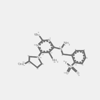 CC(C)(C)c1nc(N(N)Cc2ccccc2S(=O)(=O)F)c(N)c(N2CCC(C=O)C2)n1